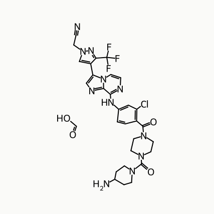 N#CCn1cc(-c2cnc3c(Nc4ccc(C(=O)N5CCN(C(=O)N6CCC(N)CC6)CC5)c(Cl)c4)nccn23)c(C(F)(F)F)n1.O=CO